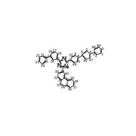 c1ccc(-c2ccc(-c3ccc(-c4nc(-c5cccc(-c6ccccc6)c5)nc(-c5ccc6ccc7ccccc7c6c5)n4)cc3)cc2)cc1